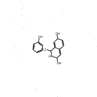 CC1NC(O)C=C2C=CC(O)C=C21.Oc1ccccc1